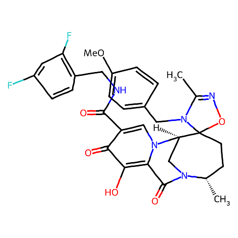 COc1ccc(CN2C(C)=NOC23CC[C@H](C)N2C[C@H]3n3cc(C(=O)NCc4ccc(F)cc4F)c(=O)c(O)c3C2=O)cc1